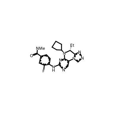 CC[C@@H]1c2nncn2-c2cnc(Nc3ccc(C(=O)NC)cc3F)nc2N1C1CCCC1